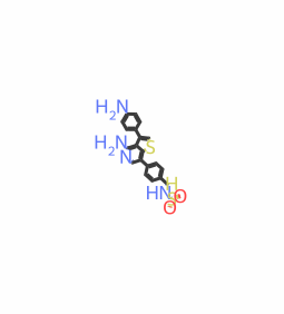 Nc1ccc(-c2csc3c(-c4ccc(CN[SH](=O)=O)cc4)cnc(N)c23)cc1